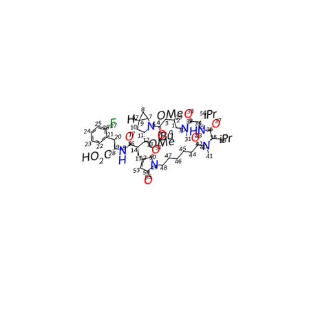 CC[C@H](C)C(C(CC(=O)N1C2C[C@H]2C[C@H]1C(OC)[C@@H](C)C(=O)N[C@@H](Cc1ccccc1F)C(=O)O)OC)N(C)C(=O)[C@@H](NC(=O)C(C(C)C)N(C)C(=O)CCCCCN1C(=O)C=CC1=O)C(C)C